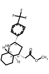 COC(=O)C[C@H]1C[C@@H](c2ccc(C(F)(F)F)cc2)N[C@H]2CCCC[C@H]12